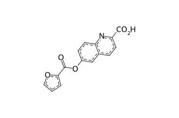 O=C(O)c1ccc2cc(OC(=O)c3ccco3)ccc2n1